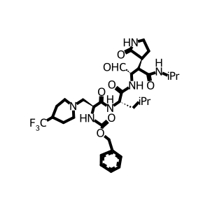 CC(C)C[C@H](NC(=O)[C@H](CN1CCC(C(F)(F)F)CC1)NC(=O)OCc1ccccc1)C(=O)N[C@H](C=O)C(C(=O)NC(C)C)[C@@H]1CCNC1=O